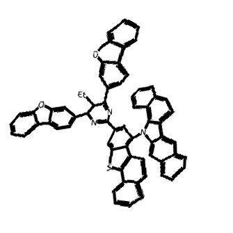 CCC1C(c2ccc3c(c2)oc2ccccc23)=NC(c2cc(-n3c4cc5ccccc5cc4c4ccc5ccccc5c43)c3c(c2)sc2c4ccccc4ccc23)=NC1c1ccc2c(c1)oc1ccccc12